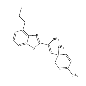 CC1=CCC(C)(C=C(N)c2nc3c(CCI)cccc3s2)C=C1